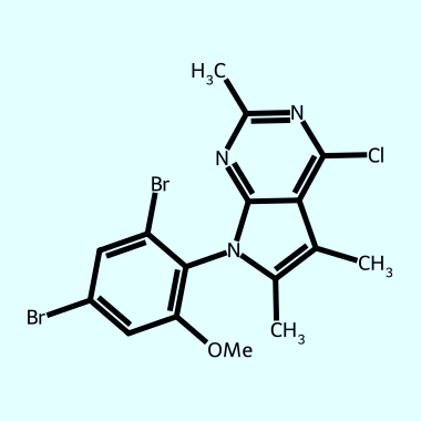 COc1cc(Br)cc(Br)c1-n1c(C)c(C)c2c(Cl)nc(C)nc21